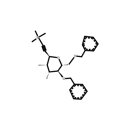 C[C@@H]1[C@H](C)[C@@H](C#C[Si](C)(C)C)O[C@H](COCc2ccccc2)[C@H]1OCc1ccccc1